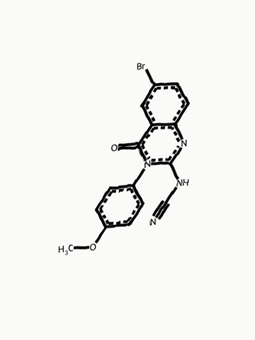 COc1ccc(-n2c(NC#N)nc3ccc(Br)cc3c2=O)cc1